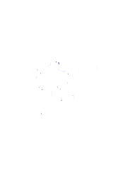 CC(C)[Si](C)(C)N1C2N([C@@H]3O[C@H](CO)C(O)C3O)C=NC2([Si](C)(C)C(C)C)C(N)=NC1(Cl)[Si](C)(C)C(C)C